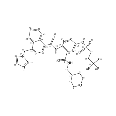 O=C(NCC1CCOCC1)c1nc(OS(=O)(=O)CCC(F)(F)F)cnc1NC(=O)c1ccc(Cn2ccnn2)c2ccccc12